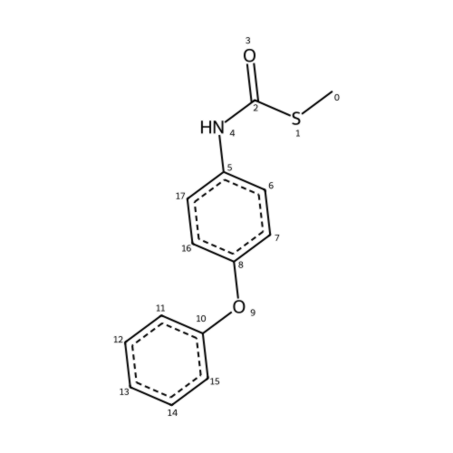 CSC(=O)Nc1ccc(Oc2ccccc2)cc1